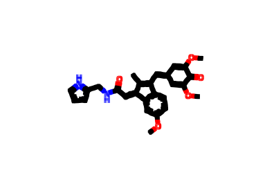 COC1=CC(=CC2=C(C)/C(=C\C(=O)NCc3ccc[nH]3)c3cc(OC)ccc32)C=C(OC)C1=O